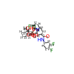 O=C(Nc1ccc(F)c(F)c1)c1ccc(Cl)c(S(=O)(=O)C2CC3CC[C@@H](C2)[C@@]3(O)C(O)C(O)c2ncccc2F)c1